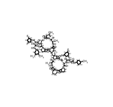 Cc1ccc(NC(=O)N[C@@H](Cc2cc(F)cc(F)c2)C(=O)N[C@H]2COC(=O)[C@@H]3C[C@](C)(CC4CC[C@H]5C(=O)N[C@@H](C)C(=O)N6C[C@@H](C)C[C@H]6C(=O)OC[C@H](NC(=O)[C@H](Cc6cc(F)cc(F)c6)NC(=O)Nc6ccc(C)c(C)c6)C(=O)N6CCC[C@H]6C(=O)N5C4)CN3C(=O)[C@H](C)NC(=O)[C@@H]3CCCCN3C(=O)[C@@H]3CCCN3C2=O)cc1